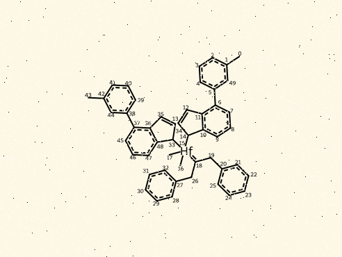 Cc1cccc(-c2cccc3c2C=C[CH]3[Hf]([CH3])([CH3])(=[C](Cc2ccccc2)Cc2ccccc2)[CH]2C=Cc3c(-c4cccc(C)c4)cccc32)c1